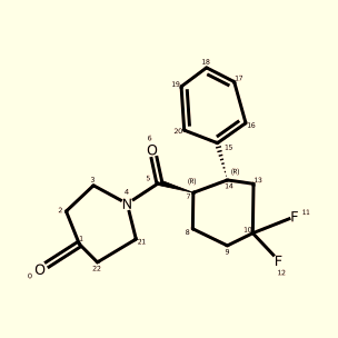 O=C1CCN(C(=O)[C@@H]2CCC(F)(F)C[C@H]2c2ccccc2)CC1